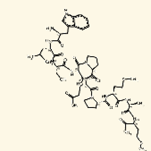 CSCC[C@H](NC(=O)[C@H](C)NC(=O)[C@H](CCSC)NC(=O)[C@@H]1CCCN1C(=O)[C@H](CCC(=O)O)NC(=O)[C@@H]1CCCN1C(=O)[C@@H](NC(=O)[C@H](CO)NC(=O)[C@H](CC(C)C)NC(=O)[C@@H](N)Cc1c[nH]c2ccccc12)[C@@H](C)O)C(N)=O